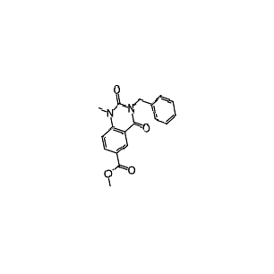 COC(=O)c1ccc2c(c1)c(=O)n(Cc1ccccc1)c(=O)n2C